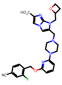 N#Cc1ccc(COc2cccc(N3CCN(Cc4cn5cc(C(=O)O)nc5n4CC4CCO4)CC3)n2)c(F)c1